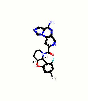 Nc1nc2cnc(C(=O)N3CCC[C@@H]4Oc5cc(C(F)(F)F)cc(F)c5[C@@H]43)cc2n2cncc12